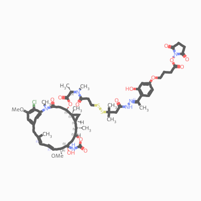 COc1cc2cc(c1Cl)N(C)C(=O)C[C@H](OC(=O)[C@H](C)N(C)C(=O)CCSSC(C)(C)CC(=O)N/N=C(\C)c1ccc(OCCCC(=O)ON3C(=O)CCC3=O)cc1O)[C@@]1(C)C[C@H]1[C@H](C)[C@@H]1C[C@@](O)(NC(=O)O1)[C@H](OC)/C=C/C=C(\C)C2